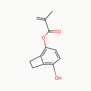 C=C(C)C(=O)Oc1ccc(O)c2c1CC2